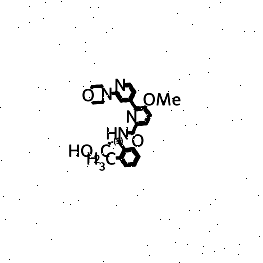 COc1ccc(C(=O)N[C@@H](CC(=O)O)c2ccccc2C)nc1-c1ccnc(N2CCOCC2)c1